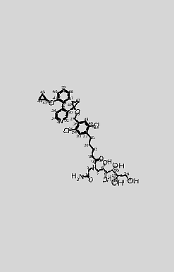 NC(=O)CN(C[C@H](O)[C@@H](O)[C@H](O)[C@H](O)CO)C(=O)CCCCc1cc(Cl)c(COC2(c3cnccc3-c3ccccc3OC3CC3)CC2)cc1Cl